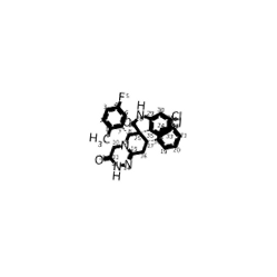 Cc1ccc(F)cc1[C@H]1N2CC(=O)NN=C2C[C@@H](c2cccc(Cl)c2)[C@]12C(=O)Nc1cc(Cl)ccc12